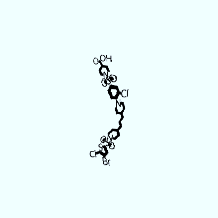 O=C(O)C1CCN(S(=O)(=O)c2ccc(N3CCC(CCCC4CCN(S(=O)(=O)c5cc(Br)c(Cl)s5)CC4)CC3)c(Cl)c2)CC1